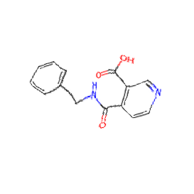 O=C(O)c1cnccc1C(=O)NCc1ccccc1